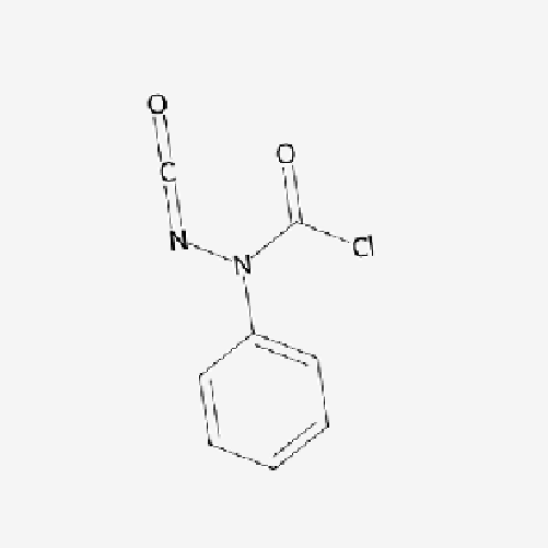 O=C=NN(C(=O)Cl)c1ccccc1